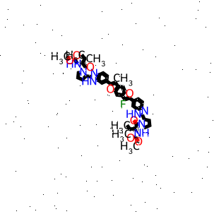 COC(=O)N[C@H](C(=O)N1CCCC1c1nc2ccc(-c3oc4cc5c(C)c(-c6ccc7nc(C8CCCN8C(=O)[C@H](NC(=O)OC)C(C)C)[nH]c7c6)oc5cc4c3F)cc2[nH]1)C(C)C